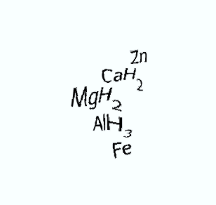 [AlH3].[CaH2].[Fe].[MgH2].[Zn]